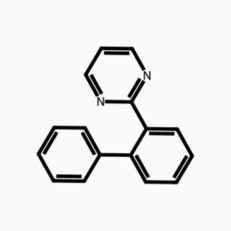 c1ccc(-c2ccccc2-c2ncccn2)cc1